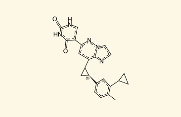 Cc1ccc([C@H]2CC2c2cc(-c3c[nH]c(=O)[nH]c3=O)nn3ccnc23)cc1C1CC1